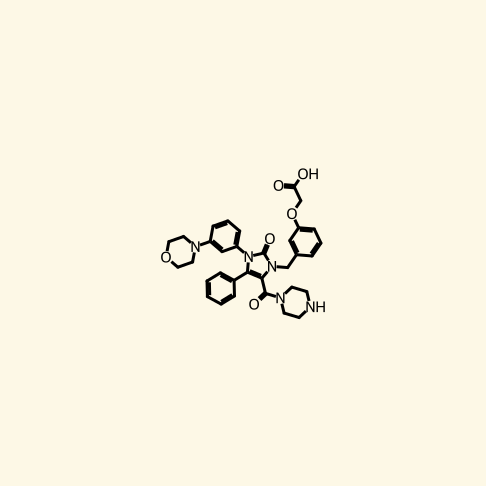 O=C(O)COc1cccc(Cn2c(C(=O)N3CCNCC3)c(-c3ccccc3)n(-c3cccc(N4CCOCC4)c3)c2=O)c1